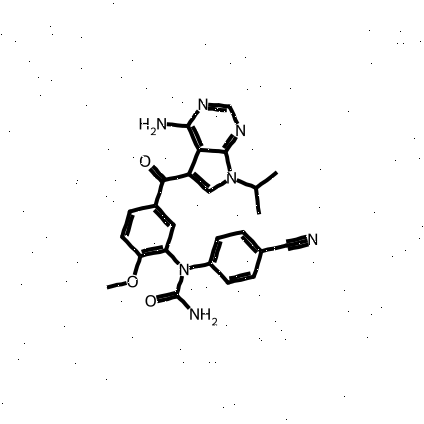 COc1ccc(C(=O)c2cn(C(C)C)c3ncnc(N)c23)cc1N(C(N)=O)c1ccc(C#N)cc1